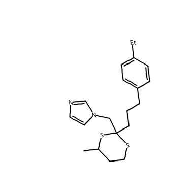 CCc1ccc(CCCC2(Cn3ccnc3)SCCC(C)S2)cc1